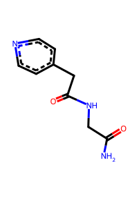 NC(=O)CNC(=O)Cc1ccncc1